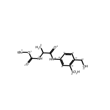 CC(NC(=O)OC(C)(C)C)C(=O)Nc1ccc(CO)c(S(=O)(=O)O)c1